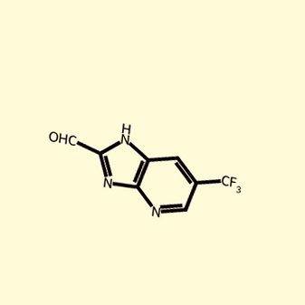 O=Cc1nc2ncc(C(F)(F)F)cc2[nH]1